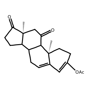 CC(=O)OC1=CC2=CCC3C(C(=O)C[C@]4(C)C(=O)CCC34)[C@@]2(C)CC1